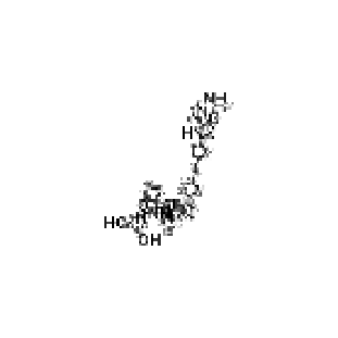 CC(N)C(=O)N1CCC[C@H]1c1ncc(-c2ccc(C#Cc3ccc(-c4cnc([C@@H]5CCCN5C(=O)[C@H](NC(=O)N(CCO)CCO)c5ccccc5)[nH]4)cc3)cc2)[nH]1